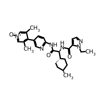 CCn1nccc1C(=O)N[C@H](C(=O)Nc1ccc(-c2c(C)c[n+]([O-])cc2C)cn1)[C@H]1CC[C@H](C)CC1